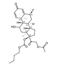 CCCCOC(=O)O[C@]1(C(=O)COC(C)=O)CC[C@H]2[C@@H]3C[C@H](F)C4=CC(=O)C=C[C@]4(C)[C@H]3C(O)C[C@@]21C